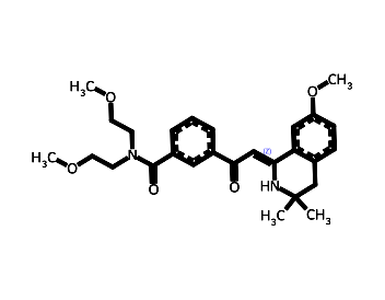 COCCN(CCOC)C(=O)c1cccc(C(=O)/C=C2\NC(C)(C)Cc3ccc(OC)cc32)c1